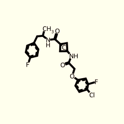 CC(Cc1ccc(F)cc1)NC(=O)C12CC(NC(=O)COc3ccc(Cl)c(F)c3)(C1)C2